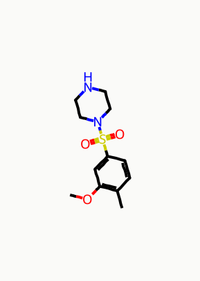 COc1cc(S(=O)(=O)N2CCNCC2)ccc1C